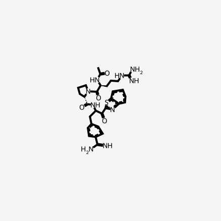 CC(=O)N[C@@H](CCCNC(=N)N)C(=O)N1CCC[C@H]1C(=O)NC(Cc1ccc(C(=N)N)cc1)C(=O)c1nc2ccccc2s1